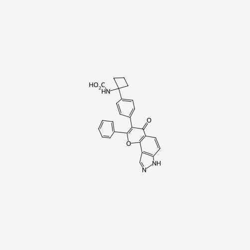 O=C(O)NC1(c2ccc(-c3c(-c4ccccc4)oc4c(ccc5[nH]ncc54)c3=O)cc2)CCC1